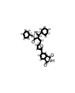 O=C1NC(=O)c2cc(-c3ccc(/C=C4\C(=O)N(c5ccccc5)N=C4c4ccccc4)o3)ccc21